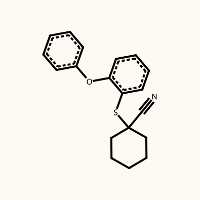 N#CC1(Sc2ccccc2Oc2ccccc2)CCCCC1